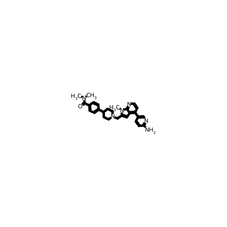 CN(C)C(=O)c1ccc(C2CCN(Cc3cc4c(-c5ccc(N)nc5)ccnc4n3C)CC2)cc1